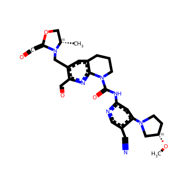 CO[C@H]1CCN(c2cc(NC(=O)N3CCCc4cc(CN5C(=C=O)OC[C@@H]5C)c(C=O)nc43)ncc2C#N)C1